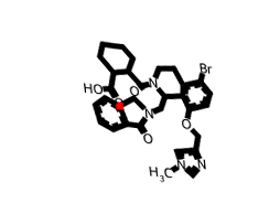 Cn1cnc(COc2ccc(Br)c3c2C(CN2Cc4ccccc4C2=O)N(C(=O)C2CCCCC2C(=O)O)CC3)c1